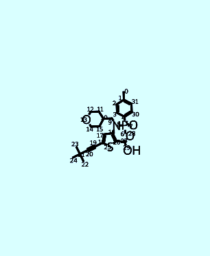 Cc1ccc(P(C)(=O)N(CC2CCOCC2)c2cc(C#CC(C)(C)C)sc2C(=O)O)cc1